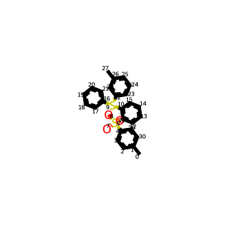 Cc1ccc(S(=O)(=O)OS(c2ccccc2)(c2ccccc2)c2cccc(C)c2)cc1